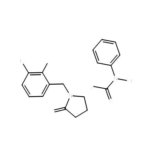 CN(C(=O)C[C@@H]1CCC(=O)N1Cc1cccc(F)c1F)c1ccccc1